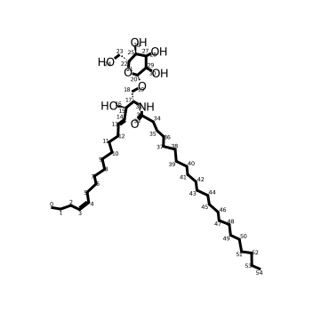 CCC/C=C\CCCCCCCC/C=C/[C@@H](O)[C@H](CO[C@@H]1O[C@H](CO)[C@@H](O)C(O)C1O)NC(=O)CCCCCCCCCCCCCCCCCCCCC